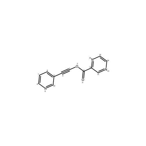 O=C(OC#Cc1cccnc1)c1cnccn1